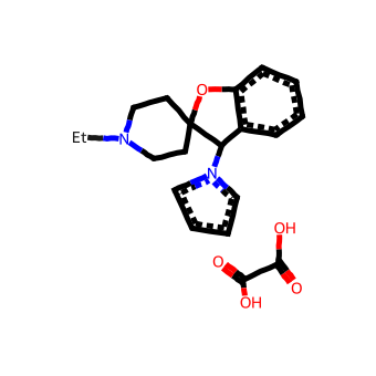 CCN1CCC2(CC1)Oc1ccccc1C2n1cccc1.O=C(O)C(=O)O